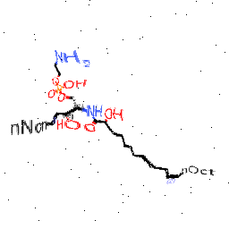 CCCCCCCC/C=C\CCCCCCCCC(O)C(=O)N[C@@H](COP(=O)(O)OCCN)[C@H](O)/C=C/CCCCCCCCC